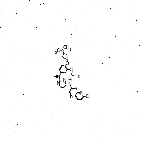 COc1cc(Nc2nccc(Nc3cnc4ccc(Cl)nc4c3)n2)ccc1OC1CC(N(C)C)C1